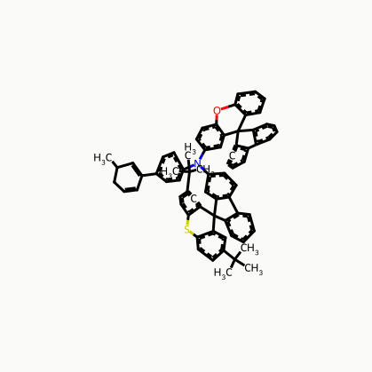 CC1C=C(c2ccc(N(c3ccc4c(c3)C3(c5ccccc5O4)c4ccccc4-c4ccccc43)c3ccc4c(c3)C3(c5cc(C(C)(C)C)ccc5Sc5ccc(C(C)(C)C)cc53)c3ccccc3-4)cc2)C=CC1